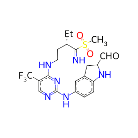 CC[C@@H](CCNc1nc(Nc2ccc3c(c2)CC(C=O)N3)ncc1C(F)(F)F)C(=N)S(C)(=O)=O